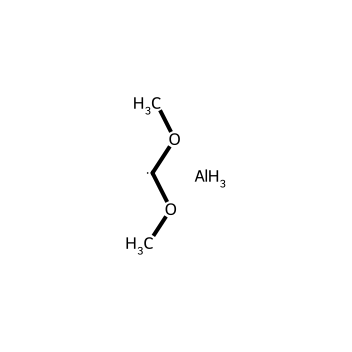 CO[CH]OC.[AlH3]